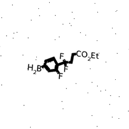 Bc1ccc(C(F)(F)CCC(=O)OCC)c(F)c1